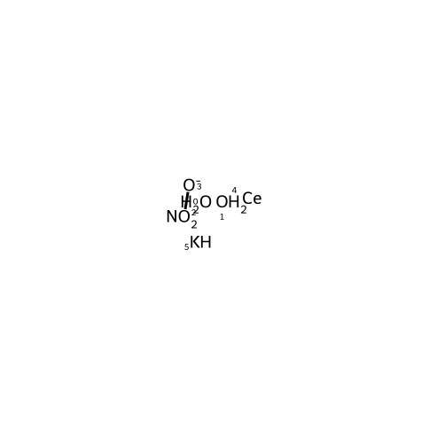 O.O.O=[N+]([O-])[O-].[Ce].[KH]